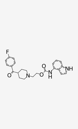 O=C(Nc1cccc2[nH]ccc12)OCCN1CCC(C(=O)c2ccc(F)cc2)CC1